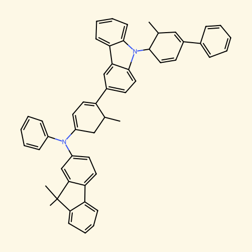 CC1CC(N(c2ccccc2)c2ccc3c(c2)C(C)(C)c2ccccc2-3)=CC=C1c1ccc2c(c1)c1ccccc1n2C1C=CC(c2ccccc2)=CC1C